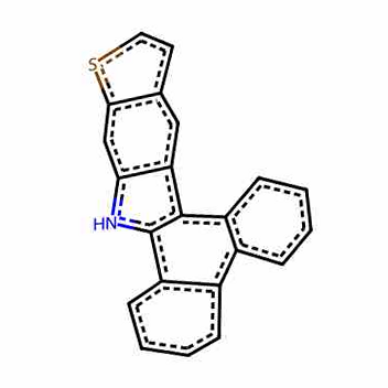 c1ccc2c(c1)c1ccccc1c1c3cc4ccsc4cc3[nH]c21